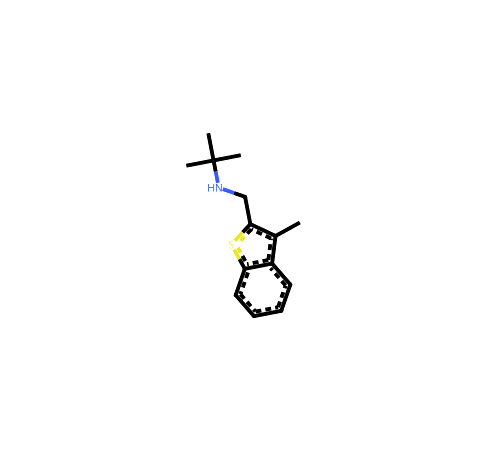 Cc1c(CNC(C)(C)C)sc2ccccc12